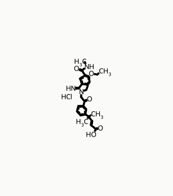 CCOc1cc2c(cc1C(=O)NC)C(=N)N(CC(=O)c1cccc(C(C)(C)/C=C/C(=O)O)c1)C2.Cl